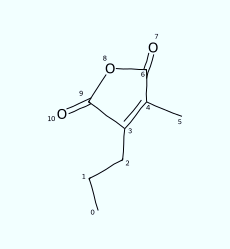 CCCC1=C(C)C(=O)OC1=O